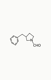 O=CN1CCC(Cc2ccccc2)C1